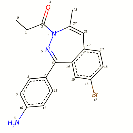 CCC(=O)N1N=C(c2ccc(N)cc2)c2cc(Br)ccc2C=C1C